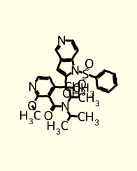 COc1nccc(C(C)(O)c2cc3cnccc3n2S(=O)(=O)c2ccccc2)c1C(=O)N(C(C)C)C(C)C